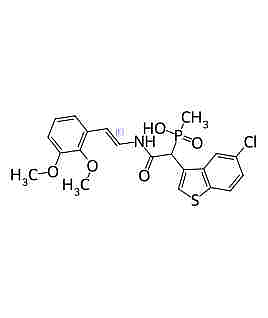 COc1cccc(/C=C/NC(=O)C(c2csc3ccc(Cl)cc23)P(C)(=O)O)c1OC